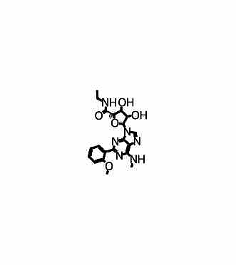 CCNC(=O)[C@@H]1OC(n2cnc3c(NC)nc(-c4ccccc4OC)nc32)C(O)C1O